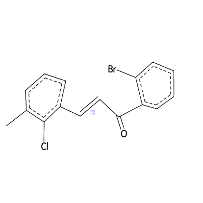 Cc1cccc(/C=C/C(=O)c2ccccc2Br)c1Cl